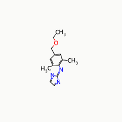 CCOCc1cc(C)c(N=C2N=CC=N2)c(C)c1